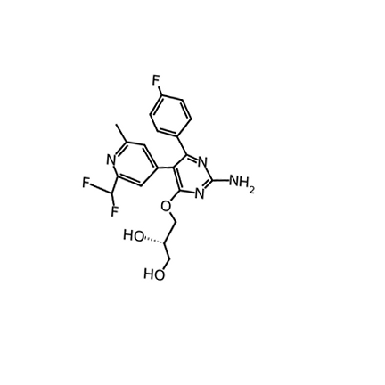 Cc1cc(-c2c(OC[C@@H](O)CO)nc(N)nc2-c2ccc(F)cc2)cc(C(F)F)n1